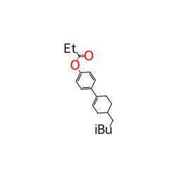 CCC(=O)Oc1ccc(C2=CCC(CC(C)CC)CC2)cc1